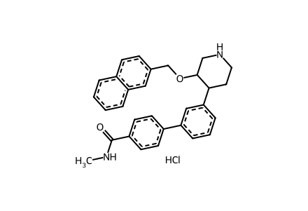 CNC(=O)c1ccc(-c2cccc(C3CCNCC3OCc3ccc4ccccc4c3)c2)cc1.Cl